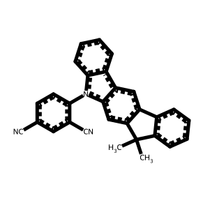 CC1(C)c2ccccc2-c2cc3c4ccccc4n(-c4ccc(C#N)cc4C#N)c3cc21